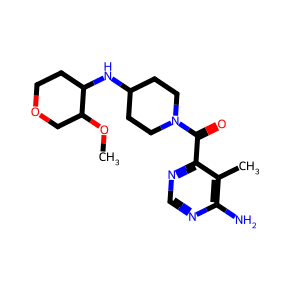 COC1COCCC1NC1CCN(C(=O)c2ncnc(N)c2C)CC1